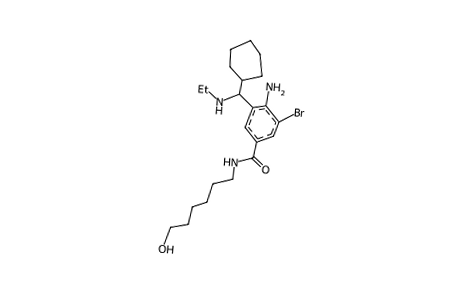 CCNC(c1cc(C(=O)NCCCCCCO)cc(Br)c1N)C1CCCCC1